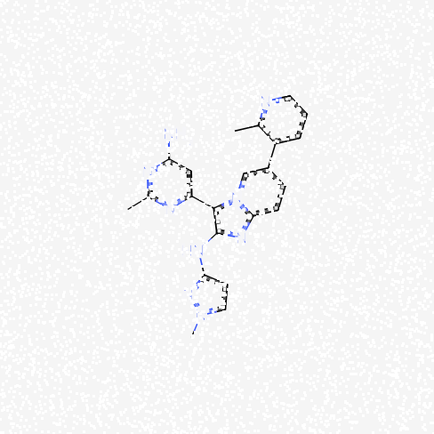 Cc1nc(N)cc(-c2c(Nc3ccn(C)n3)nc3ccc(-c4cccnc4C)cn23)n1